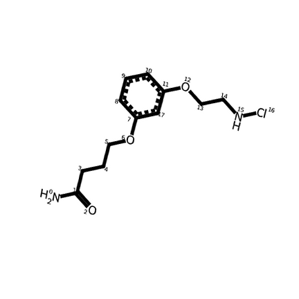 NC(=O)CCCOc1cccc(OCCNCl)c1